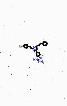 N=C(N)Nc1ccc(-c2cc(CCCc3ccccc3)nc(/C=C/c3ccc(Br)cc3)n2)cc1